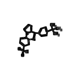 CC(C)(C)c1ccc(-c2nc3cc(S(=O)(=O)Cl)ccc3n3cccc23)cc1